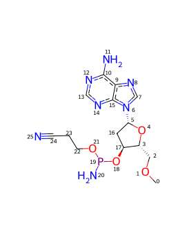 COC[C@H]1O[C@@H](n2cnc3c(N)ncnc32)C[C@@H]1OP(N)OCCC#N